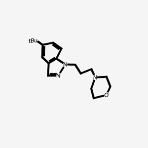 CC(C)(C)c1ccc2c(cnn2CCCN2CCOCC2)c1